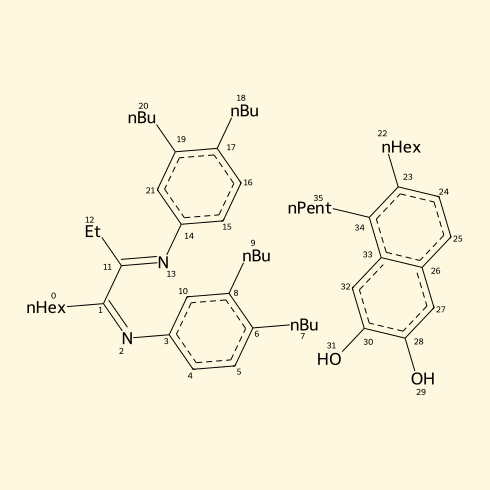 CCCCCCC(=Nc1ccc(CCCC)c(CCCC)c1)C(CC)=Nc1ccc(CCCC)c(CCCC)c1.CCCCCCc1ccc2cc(O)c(O)cc2c1CCCCC